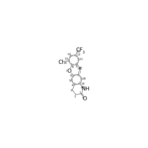 O=C1CCc2cc(Oc3c(F)cc(C(F)(F)F)cc3Cl)ccc2N1